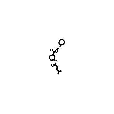 CC(C)CCC(=O)OC1CCCC(C(=O)OCOC2CCCCC2)C1